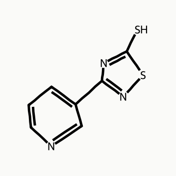 Sc1nc(-c2cccnc2)ns1